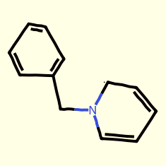 [CH]1C=CC=CN1Cc1ccccc1